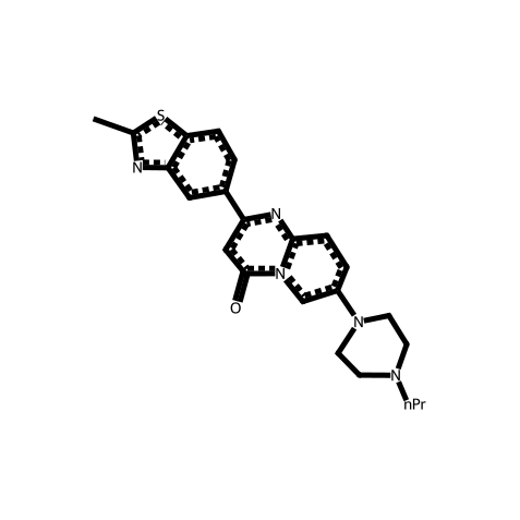 CCCN1CCN(c2ccc3nc(-c4ccc5sc(C)nc5c4)cc(=O)n3c2)CC1